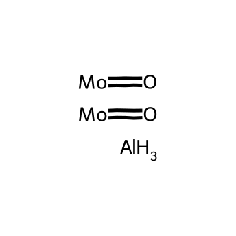 [AlH3].[O]=[Mo].[O]=[Mo]